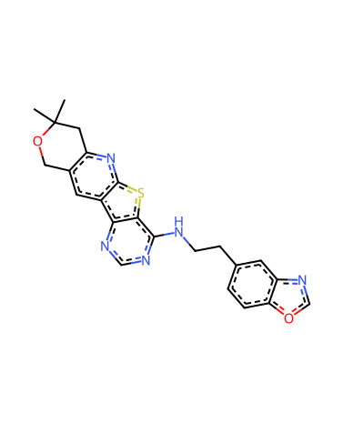 CC1(C)Cc2nc3sc4c(NCCc5ccc6ocnc6c5)ncnc4c3cc2CO1